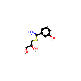 NC(SCC(O)CO)c1cccc(O)c1